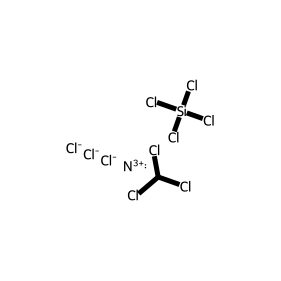 ClC(Cl)Cl.Cl[Si](Cl)(Cl)Cl.[Cl-].[Cl-].[Cl-].[N+3]